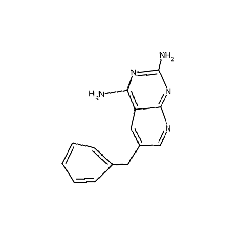 Nc1nc(N)c2cc(Cc3ccccc3)cnc2n1